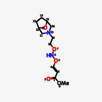 COC(=O)/C=C/ONOCCN1CC2CCC(C1)O2